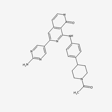 CC(=O)N1CCC(c2ccc(Nc3nc(-c4cnc(N)nc4)cc4c3C(=O)[N]C=C4)cc2)CC1